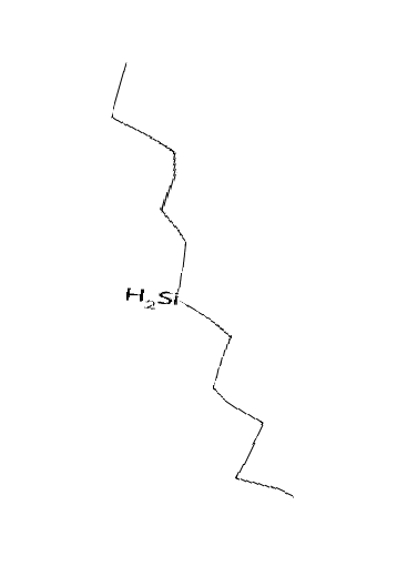 CCCCC[SiH2]CCCCC